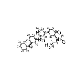 NCCN1C(=O)COc2ccc(-c3ccnc(Nc4cccc(Oc5ccccc5)c4)c3)cc21